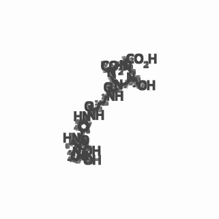 C[C@@H](NC(=O)c1ccc(NNC(=O)CCCCNC(=O)CN2CCN(CCO)CCN(CC(=O)O)CCN(CC(=O)O)CC2)cc1)C(=O)N1CCC[C@H]1B(O)O